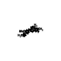 COc1cc(/C=C2\CCCN3C2=NOC3(C)c2ccc(F)c(C)c2)ccc1-n1cnc(C)c1